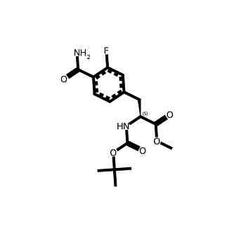 COC(=O)[C@H](Cc1ccc(C(N)=O)c(F)c1)NC(=O)OC(C)(C)C